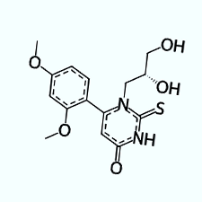 COc1ccc(-c2cc(=O)[nH]c(=S)n2C[C@@H](O)CO)c(OC)c1